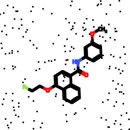 COc1cccc(NC(=O)c2ccc(OCCF)c3ccccc23)c1